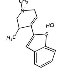 CC1CN(C)CC=C1c1cc2ccccc2s1.Cl